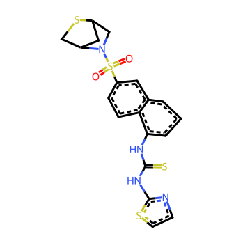 O=S(=O)(c1ccc2c(NC(=S)Nc3nccs3)cccc2c1)N1CC2CC1CS2